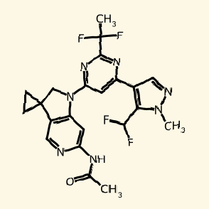 CC(=O)Nc1cc2c(cn1)C1(CC1)CN2c1cc(-c2cnn(C)c2C(F)F)nc(C(C)(F)F)n1